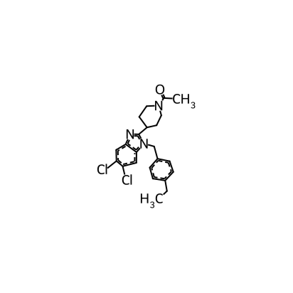 CCc1ccc(Cn2c(C3CCN(C(C)=O)CC3)nc3cc(Cl)c(Cl)cc32)cc1